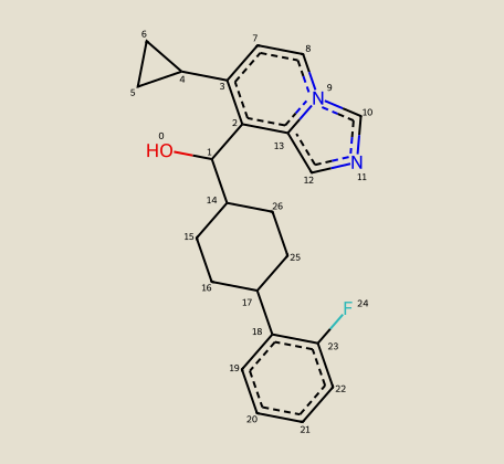 OC(c1c(C2CC2)ccn2cncc12)C1CCC(c2ccccc2F)CC1